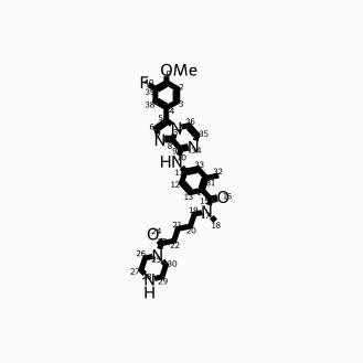 COc1ccc(-c2cnc3c(Nc4ccc(C(=O)N(C)CCCCC(=O)N5CCNCC5)c(C)c4)nccn23)cc1F